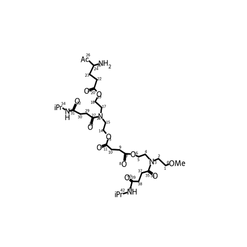 COCCN(CCOC(=O)CCC(=O)OCCN(CCOC(=O)CCC(N)C(C)=O)C(=O)CCC(=O)NC(C)C)C(=O)CCC(=O)NC(C)C